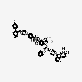 CC1(C)CCC(c2ccc(Cl)cc2)=C(CN2CCN(c3ccc(C(=O)NS(=O)(=O)c4ccc(N[C@H](CCN5CCN(Cc6cccnc6N6CCC(=O)NC6=O)CC5)CSc5ccccc5)c(S(=O)(=O)C(F)(F)F)c4)cc3)CC2)C1